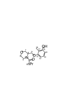 CCCC(=O)N1CCOCC1COc1cccc(O)c1C